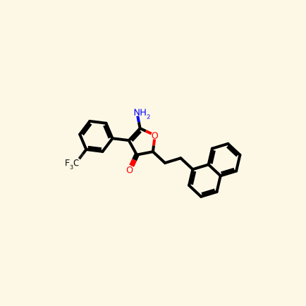 NC1=C(c2cccc(C(F)(F)F)c2)C(=O)C(CCc2cccc3ccccc23)O1